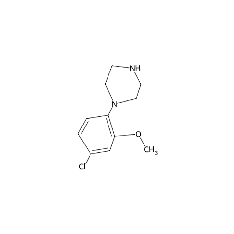 COc1cc(Cl)ccc1N1CCNCC1